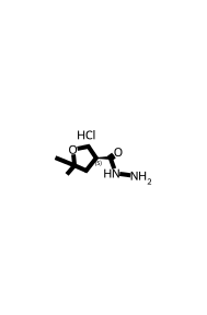 CC1(C)C[C@H](C(=O)NN)CO1.Cl